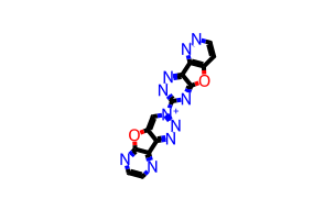 c1cc2oc3nc(-[n+]4cc5oc6nccnc6c5nn4)nnc3c2nn1